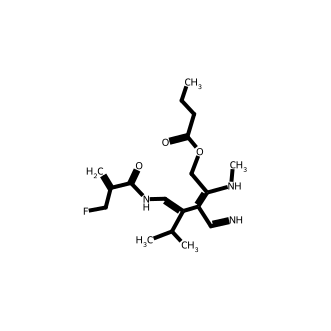 C=C(CF)C(=O)N/C=C(/C(C=N)=C(\COC(=O)CCC)NC)C(C)C